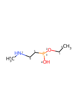 CCOP(O)CCNC